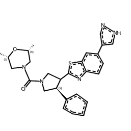 C[C@@H]1CN(C(=O)N2CC(c3nc4ccc(-c5cn[nH]c5)cc4s3)[C@@H](c3ccccc3)C2)C[C@H](C)O1